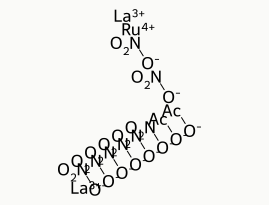 CC(=O)[O-].CC(=O)[O-].O=[N+]([O-])[O-].O=[N+]([O-])[O-].O=[N+]([O-])[O-].O=[N+]([O-])[O-].O=[N+]([O-])[O-].O=[N+]([O-])[O-].O=[N+]([O-])[O-].O=[N+]([O-])[O-].[La+3].[La+3].[Ru+4]